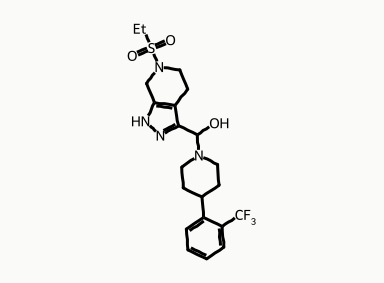 CCS(=O)(=O)N1CCc2c(C(O)N3CCC(c4ccccc4C(F)(F)F)CC3)n[nH]c2C1